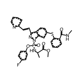 CNC(=O)c1ccccc1Sc1ccc2c(/C=C/c3ccccn3)nn(P(=O)(NC(C)C(=O)OC)Oc3ccc(F)cc3)c2c1